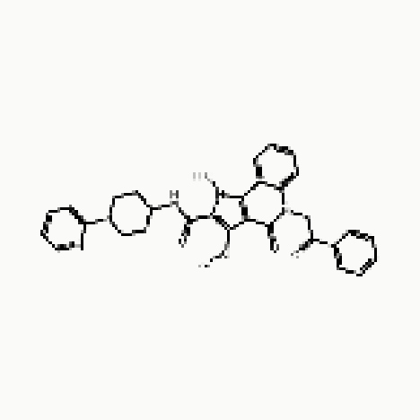 COc1c(C(=O)NC2CCN(c3ccccn3)CC2)n(C)c2c1c(=O)n(CC(=O)c1ccccc1)c1ccccc21